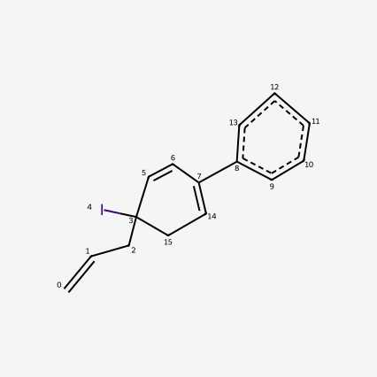 C=CCC1(I)C=CC(c2ccccc2)=CC1